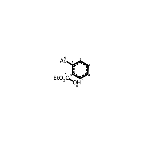 CC(=O)c1ccccc1.CCOC(=O)O